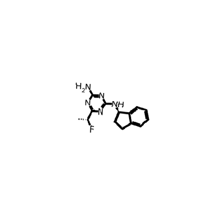 C[C@@H](F)c1nc(N)nc(N[C@@H]2CCc3ccccc32)n1